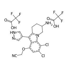 N#CCOc1cc(Cl)c(Cl)c2c1c(-c1cn[nH]c1)c1n2CC(N)CC1.O=C(O)C(F)(F)F.O=C(O)C(F)(F)F